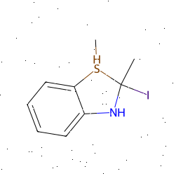 C[SH]1c2ccccc2NC1(C)I